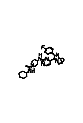 C=C(NC1CCCCC1)N1CCC(Nc2nccc(-c3c(-c4ccc(F)cc4)nc4occn34)n2)CC1